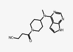 CN(c1ncnc2[nH]ccc12)C1CCN(C(=O)CCC#N)CC1